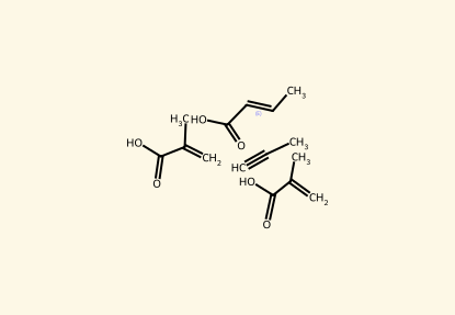 C#CC.C/C=C/C(=O)O.C=C(C)C(=O)O.C=C(C)C(=O)O